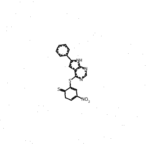 O=[N+]([O-])C1=CCC(=S)C(Sc2ncnc3[nH]c(-c4ccccc4)cc23)=C1